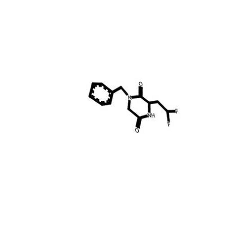 O=C1CN(Cc2ccccc2)C(=O)C(CC(F)F)N1